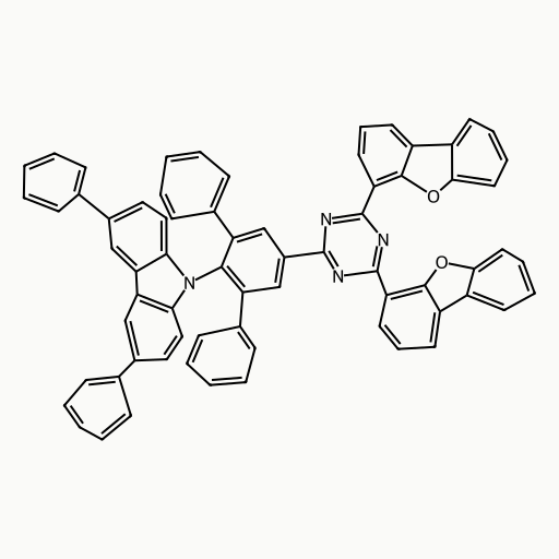 c1ccc(-c2ccc3c(c2)c2cc(-c4ccccc4)ccc2n3-c2c(-c3ccccc3)cc(-c3nc(-c4cccc5c4oc4ccccc45)nc(-c4cccc5c4oc4ccccc45)n3)cc2-c2ccccc2)cc1